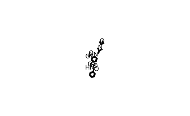 O=C(NS(=O)(=O)c1ccc(NCC2CN(C3COC3)C2)c([N+](=O)[O-])c1)c1ccccc1